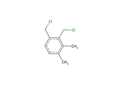 Cc1ccc(CCl)c(CCl)c1C